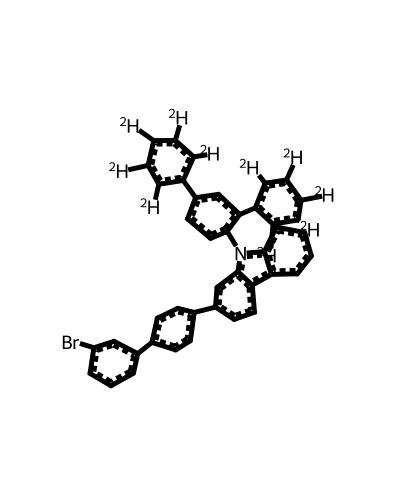 [2H]c1c([2H])c([2H])c(-c2ccc(-n3c4ccccc4c4ccc(-c5ccc(-c6cccc(Br)c6)cc5)cc43)c(-c3c([2H])c([2H])c([2H])c([2H])c3[2H])c2)c([2H])c1[2H]